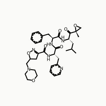 CC(C)C[C@H](NC(=O)[C@H](Cc1ccccc1)NC(=O)[C@H](Cc1ccccn1)NC(=O)C1=NOC(CN2CCOCC2)C1)C(=O)[C@@]1(C)CO1